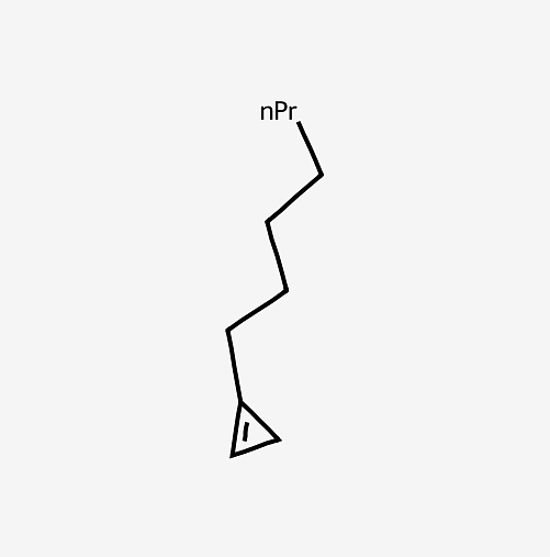 [CH2]CCCCCCC1=CC1